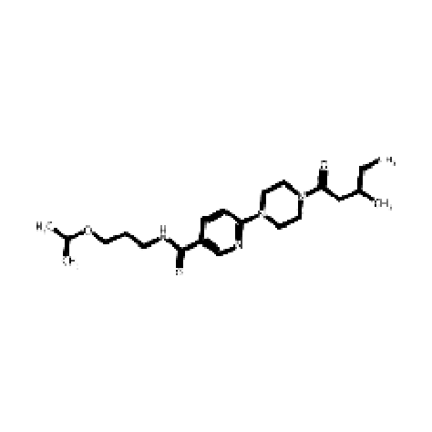 CCC(C)CC(=O)N1CCN(c2ccc(C(=O)NCCCOC(C)C)cn2)CC1